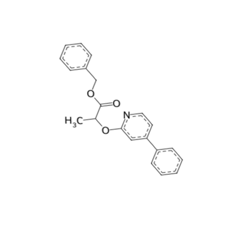 CC(Oc1cc(-c2ccccc2)ccn1)C(=O)OCc1ccccc1